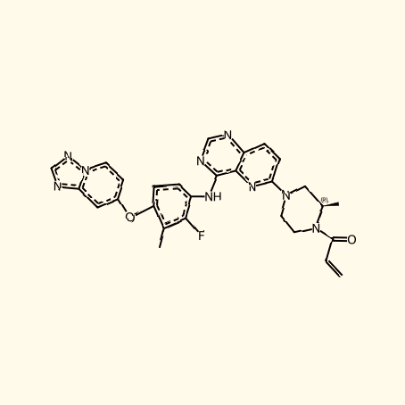 C=CC(=O)N1CCN(c2ccc3ncnc(Nc4ccc(Oc5ccn6ncnc6c5)c(C)c4F)c3n2)C[C@H]1C